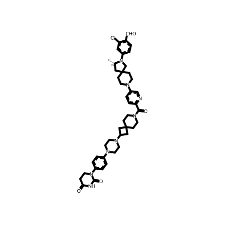 C[C@H]1CC2(CCN(c3ccc(C(=O)N4CCC5(CC4)CC(N4CCN(c6ccc(N7CCC(=O)NC7=O)cc6)CC4)C5)nc3)CC2)CN1c1ccc(C=O)c(Cl)c1